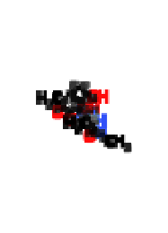 C=CC(=O)C1CNCCO1.C=CC(=O)NCC.Oc1ccccc1O